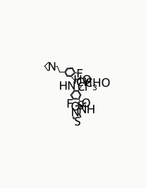 CC(Nc1cc(F)c(S(=O)(=O)Nc2cscn2)cc1Cl)c1cc(CCN2CCC2)ccc1F.O=CO